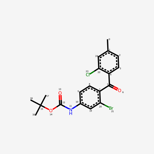 Cc1ccc(C(=O)c2ccc(NC(=O)OC(C)(C)C)cc2Br)c(Cl)c1